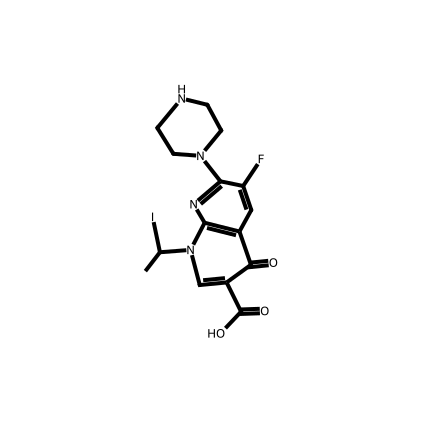 CC(I)n1cc(C(=O)O)c(=O)c2cc(F)c(N3CCNCC3)nc21